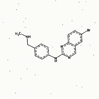 CNCc1ccc(Nc2ncc3cc(Br)ccc3n2)cc1